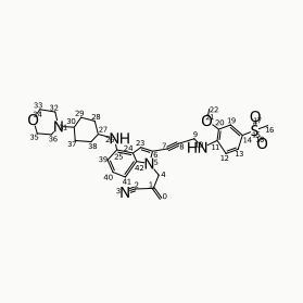 C=C(C#N)Cn1c(C#CCNc2ccc(S(C)(=O)=O)cc2OC)cc2c(NC3CCC(N4CCOCC4)CC3)cccc21